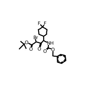 CC(C)(C)OC(=O)C(Br)C(=O)C(NC(=O)OCc1ccccc1)C1CCC(F)(F)CC1